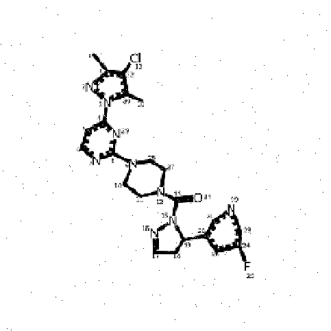 Cc1nn(-c2ccnc(N3CCN(C(=O)N4N=CCC4c4cncc(F)c4)CC3)n2)c(C)c1Cl